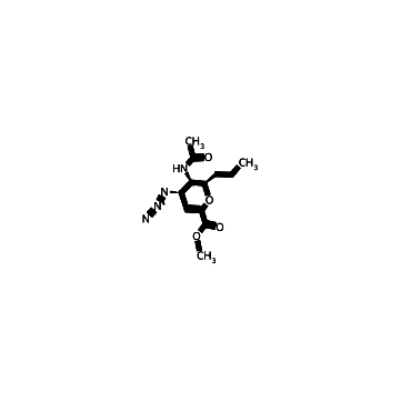 CCC[C@H]1OC(C(=O)OC)=C[C@H](N=[N+]=[N-])[C@H]1NC(C)=O